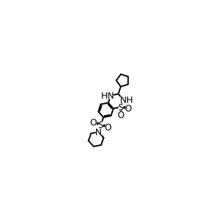 O=S1(=O)NC(C2CCCC2)Nc2ccc(S(=O)(=O)N3CCCCC3)cc21